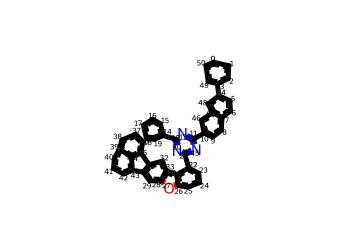 c1ccc(-c2ccc3ccc(-c4nc(-c5ccccc5)nc(-c5cccc6oc7cc8c(cc7c56)-c5cccc6cccc-8c56)n4)cc3c2)cc1